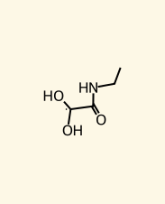 CCNC(=O)[C](O)O